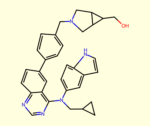 OCC1C2CN(Cc3ccc(-c4ccc5ncnc(N(CC6CC6)c6ccc7[nH]ccc7c6)c5c4)cc3)CC12